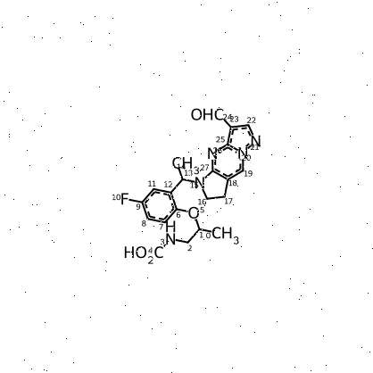 CC(CNC(=O)O)Oc1ccc(F)cc1C(C)N1CCc2cn3ncc(C=O)c3nc21